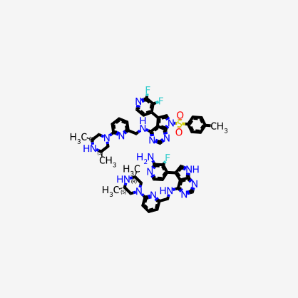 C[C@@H]1CN(c2cccc(CNc3ncnc4[nH]cc(-c5ccnc(N)c5F)c34)n2)C[C@H](C)N1.Cc1ccc(S(=O)(=O)n2cc(-c3ccnc(F)c3F)c3c(NCc4cccc(N5C[C@@H](C)N[C@@H](C)C5)n4)ncnc32)cc1